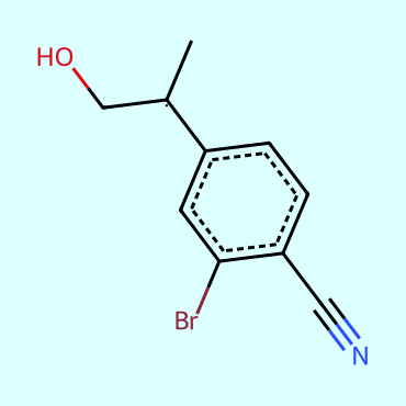 C[C](CO)c1ccc(C#N)c(Br)c1